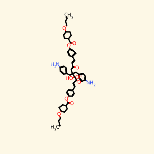 C=CCCOC1CCC(C(=O)Oc2ccc(C=CC(=O)CC(Cc3ccc(N)cc3)(Cc3ccc(N)cc3)C(O)(O)C(=O)C=Cc3ccc(OC(=O)C4CCC(OCCC=C)CC4)cc3)cc2)CC1